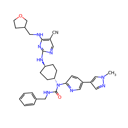 Cn1cc(-c2ccc(N(C(=O)NCc3ccccc3)[C@H]3CC[C@H](Nc4ncc(C#N)c(NCC5CCOC5)n4)CC3)nc2)cn1